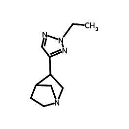 CCn1ncc(C2CN3CCC2C3)n1